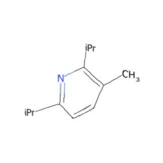 Cc1ccc(C(C)C)nc1C(C)C